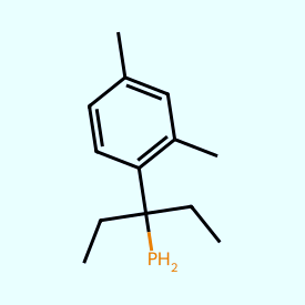 CCC(P)(CC)c1ccc(C)cc1C